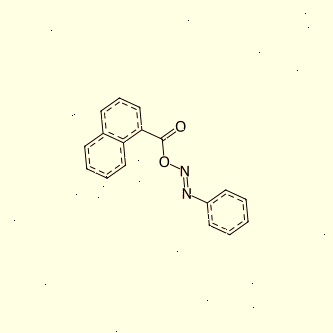 O=C(ON=Nc1ccccc1)c1cccc2ccccc12